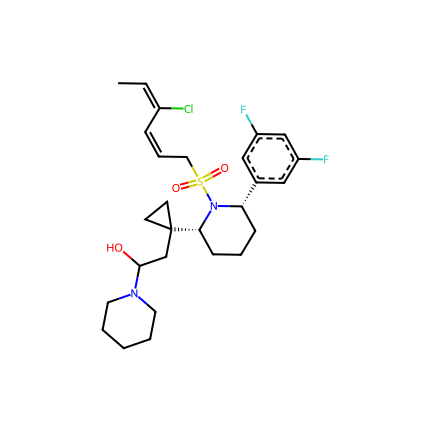 C/C=C(Cl)\C=C/CS(=O)(=O)N1[C@H](c2cc(F)cc(F)c2)CCC[C@@H]1C1(CC(O)N2CCCCC2)CC1